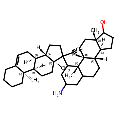 C#CC1(C2CC(N)CC3CC[C@@H]4[C@@H](CC[C@]5(C)C(O)CC[C@@H]45)[C@]32C)CC[C@H]2[C@@H]3CC=C4CCCC[C@]4(C)[C@@H]3CC[C@@]21C